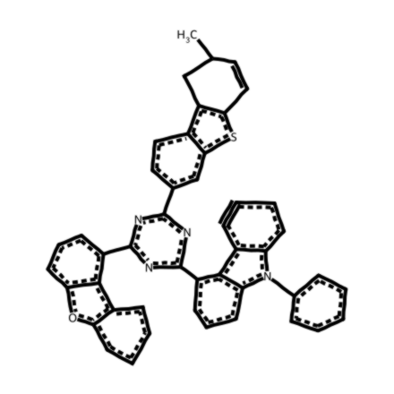 CC1C=Cc2sc3cc(-c4nc(-c5cccc6oc7ccccc7c56)nc(-c5cccc6c5c5c#cccc5n6-c5ccccc5)n4)ccc3c2C1